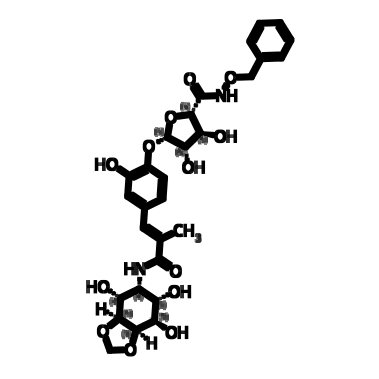 CC(=Cc1ccc(O[C@@H]2O[C@H](C(=O)NOCc3ccccc3)[C@@H](O)[C@@H]2O)c(O)c1)C(=O)N[C@@H]1[C@H](O)[C@@H](O)[C@H]2OCO[C@H]2[C@@H]1O